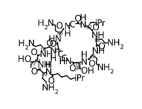 CC(C)CCCCC(=O)N[C@@H](CCN)C(=O)N[C@H](C(=O)N[C@@H](CCN)C(=O)N[C@H]1CCNC(=O)[C@H]([C@@H](C)O)NC(=O)[C@H](CCN)NC(=O)[C@H](CCN)NC(=O)[C@H](CC(C)C)NC(=O)CNC(=O)[C@H](CCN)NC1=O)[C@@H](C)O